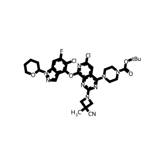 CC1(C#N)CN(c2nc(N3CCN(C(=O)OC(C)(C)C)CC3)c3cc(Cl)nc(Oc4c(Cl)c(F)cc5c4cnn5C4CCCCO4)c3n2)C1